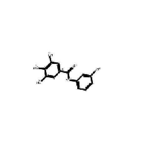 O=C(Nc1cccc(Cl)c1)c1cc(O)c(O)c(O)c1